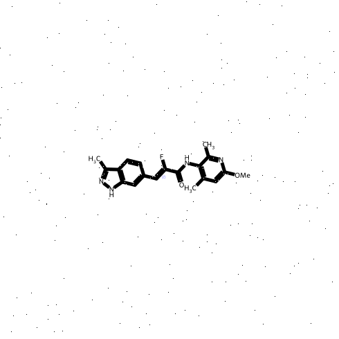 COc1cc(C)c(NC(=O)/C(F)=C/c2ccc3c(C)n[nH]c3c2)c(C)n1